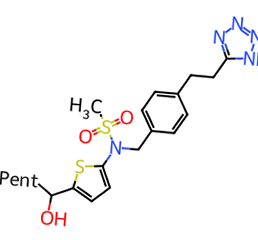 CCCCCC(O)c1ccc(N(Cc2ccc(CCc3nnn[nH]3)cc2)S(C)(=O)=O)s1